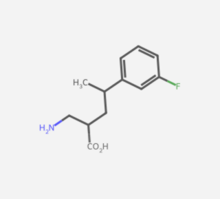 CC(CC(CN)C(=O)O)c1cccc(F)c1